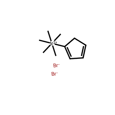 [Br-].[Br-].[CH3][Ir+2]([CH3])([CH3])([CH3])([CH3])[C]1=CC=CC1